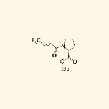 CC(C)(C)OC(=O)[C@@H]1CCCN1C(=O)C=CC(F)(F)F